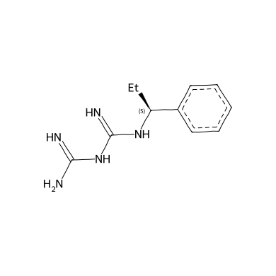 CC[C@H](NC(=N)NC(=N)N)c1ccccc1